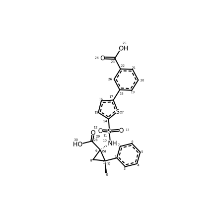 C[C@@]1(c2ccccc2)C[C@@]1(NS(=O)(=O)c1ccc(-c2cccc(C(=O)O)c2)s1)C(=O)O